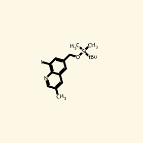 Cc1cnc2c(I)cc(CO[Si](C)(C)C(C)(C)C)cc2c1